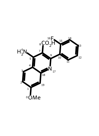 COc1ccc2c(N)c(C(=O)O)c(-c3ccccc3F)nc2c1